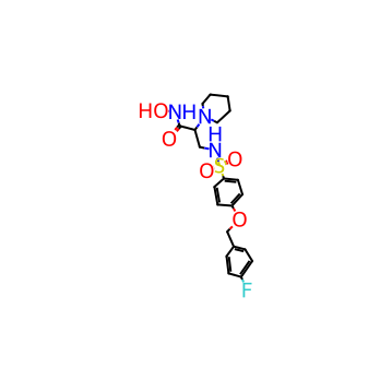 O=C(NO)C(CNS(=O)(=O)c1ccc(OCc2ccc(F)cc2)cc1)N1CCCCC1